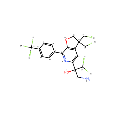 NCC(O)(c1cc2c(c(-c3ccc(C(F)(F)F)cc3)n1)OCC2(CF)CF)C(F)F